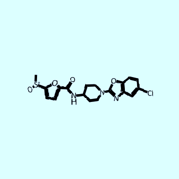 C[S+]([O-])c1ccc(C(=O)NC2CCN(c3nc4cc(Cl)ccc4o3)CC2)o1